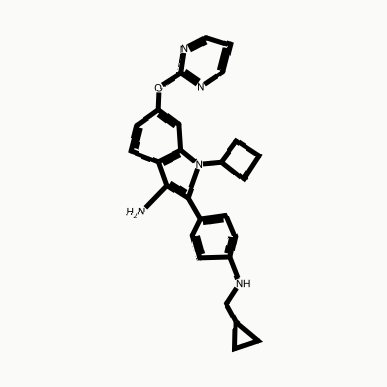 Nc1c(-c2ccc(NCC3CC3)cc2)n(C2CCC2)c2cc(Oc3ncccn3)ccc12